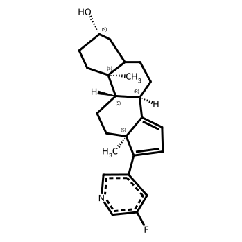 C[C@]12CC[C@H]3[C@@H](CCC4C[C@@H](O)CC[C@@]43C)C1=CC=C2c1cncc(F)c1